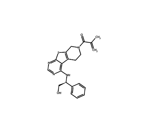 C=C(C)C(=O)N1CCc2c(sc3ncnc(N[C@H](CO)c4ccccc4)c23)C1